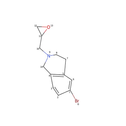 Brc1ccc2c(c1)CCN(CC1CO1)C2